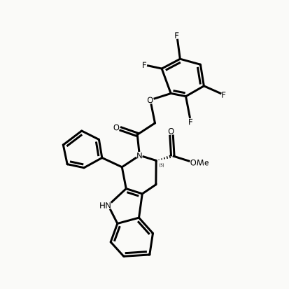 COC(=O)[C@@H]1Cc2c([nH]c3ccccc23)C(c2ccccc2)N1C(=O)COc1c(F)c(F)cc(F)c1F